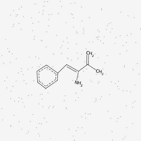 C=C(C)C(N)=Cc1ccccc1